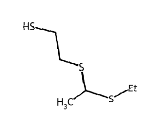 CCSC(C)SCCS